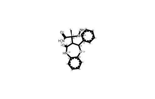 C[C@](NN)(C(N)=O)C1C(=O)Nc2ccccc2OC1c1ccccc1